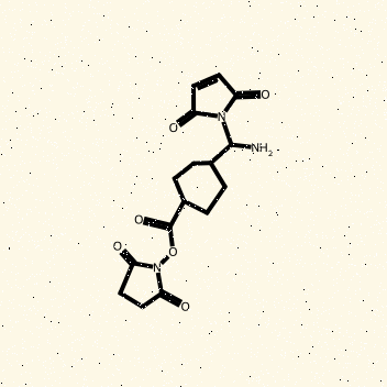 NC(C1CCC(C(=O)ON2C(=O)CCC2=O)CC1)N1C(=O)C=CC1=O